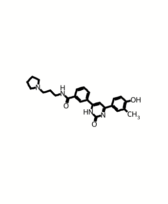 Cc1cc(-c2cc(-c3cccc(C(=O)NCCCN4CCCC4)c3)[nH]c(=O)n2)ccc1O